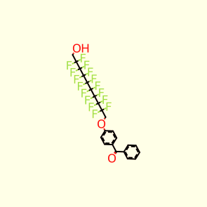 O=C(c1ccccc1)c1ccc(OCC(F)(F)C(F)(F)C(F)(F)C(F)(F)C(F)(F)C(F)(F)C(F)(F)C(F)(F)CO)cc1